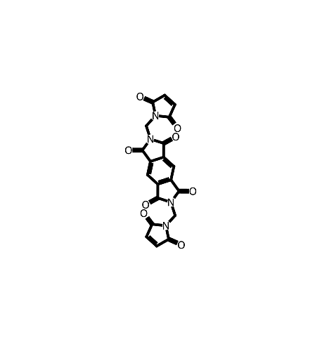 O=C1C=CC(=O)N1Cn1c(=O)c2cc3c(=O)n(CN4C(=O)C=CC4=O)c(=O)c3cc2c1=O